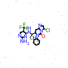 CC(Nc1nc(N)ncc1C(F)(F)F)c1cc2ncc(Cl)n2c(=O)n1-c1ccccc1